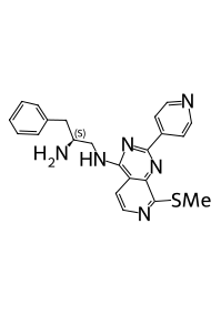 CSc1nccc2c(NC[C@@H](N)Cc3ccccc3)nc(-c3ccncc3)nc12